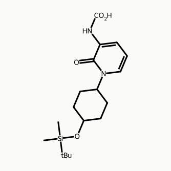 CC(C)(C)[Si](C)(C)OC1CCC(n2cccc(NC(=O)O)c2=O)CC1